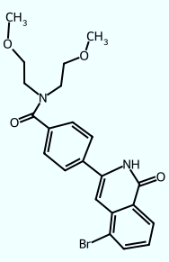 COCCN(CCOC)C(=O)c1ccc(-c2cc3c(Br)cccc3c(=O)[nH]2)cc1